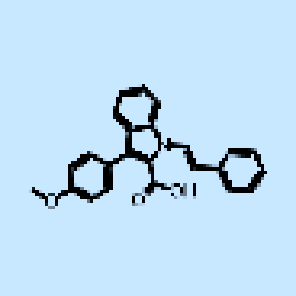 COc1ccc(-c2c(C(=O)O)n(C=Cc3ccccc3)c3ccccc23)cc1